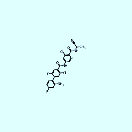 CC(C#N)NC(=O)c1ncc(NC(=O)c2cc(F)c(-c3ccc(F)cc3N)cc2Cl)cc1Cl